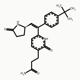 CC(C)(C)c1ccc(C(=C[C@H]2CCC(=O)N2)c2ccc(CCC(N)=O)c(=O)[nH]2)cc1